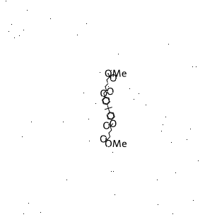 COC(=O)CCCC(=O)Oc1ccc(C(C)(C)c2ccc(OC(=O)CCCC(=O)OC)cc2)cc1